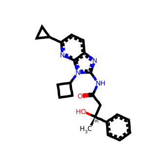 C[C@@](O)(CC(=O)Nc1nc2ccc(C3CC3)nc2n1C1CCC1)c1ccccc1